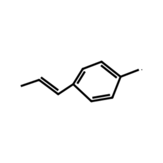 [CH2]c1ccc(C=CC)cc1